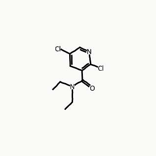 CCN(CC)C(=O)c1cc(Cl)cnc1Cl